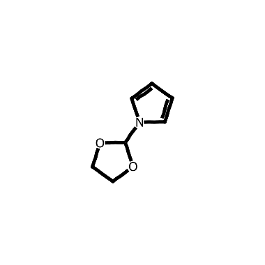 c1ccn(C2OCCO2)c1